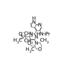 CC(C)Nc1cnc2[nH]ccc2c1-c1nc2c(c(C(C)(C)[S+](C)[O-])n1)OC[C@]1(C)COC[C@@H](C)N21